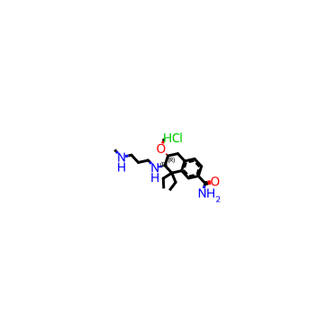 CCC1(CC)c2cc(C(N)=O)ccc2C[C@@H](OC)[C@@H]1NCCCNC.Cl